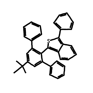 CC(C)(C)c1cc(-c2ccccc2)c(-c2sc(-c3ccccc3)c3ccccc23)c(-c2ccccc2)c1